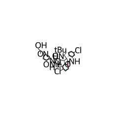 COc1cc(OCCO)ncc1NC(=O)O[C@H]1N[C@@H](CC(C)(C)C)[C@@]2(C(=O)Nc3cc(Cl)ccc32)[C@H]1c1cccc(Cl)c1F